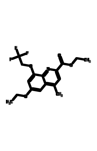 CCOC(=O)c1cc(C)c2cc(OCC)cc(OCC(F)(F)F)c2n1